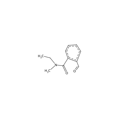 CCN(C)C(=O)c1ccccc1C=O